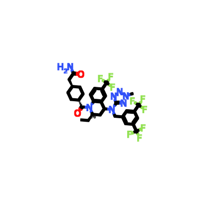 CC[C@@H]1CC(N(Cc2cc(C(F)(F)F)cc(C(F)(F)F)c2)c2nnn(C)n2)c2cc(C(F)(F)F)ccc2N1C(=O)[C@H]1CC[C@H](CC(N)=O)CC1